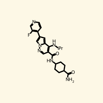 CC(C)Nc1c(C(=O)NC2CCC(C(N)=O)CC2)cnn2cc(-c3ccncc3F)cc12